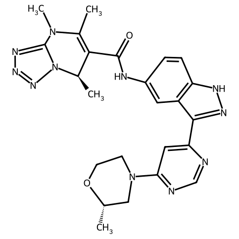 CC1=C(C(=O)Nc2ccc3[nH]nc(-c4cc(N5CCO[C@@H](C)C5)ncn4)c3c2)[C@@H](C)n2nnnc2N1C